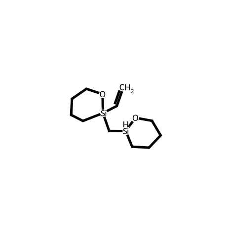 C=C[Si]1(C[SiH]2CCCCO2)CCCCO1